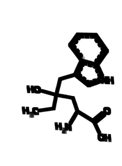 CCC(O)(Cc1c[nH]c2ccccc12)CC(N)C(=O)O